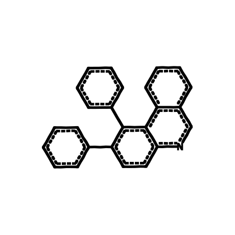 c1ccc(-c2ccc3ncc4ccccc4c3c2-c2ccccc2)cc1